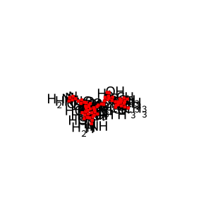 CCCC(=O)OCN(C(=O)[C@@H](NC(=O)[C@H]1CCCCN1C)C(C)CC)[C@H](C[C@@H](OC(C)=O)c1nc(C(=O)N[C@@H](Cc2ccc(O)cc2)C[C@H](C)C(=O)NNC(=O)OCCSSC(C)(C)[C@@H](NC(=O)[C@@H](CC(=O)O)NC(=O)[C@@H](CC(=O)O)NC(=O)[C@@H](CCCNC(=N)N)NC(=O)[C@@H](CC(=O)O)NC(=O)CC[C@@H](NC(=O)c2ccc(NCc3cnc4nc(N)[nH]c(=O)c4n3)cc2)C(=O)O)C(=O)O)cs1)C(C)C